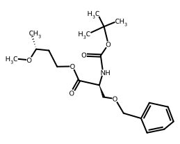 CO[C@H](C)CCOC(=O)[C@H](COCc1ccccc1)NC(=O)OC(C)(C)C